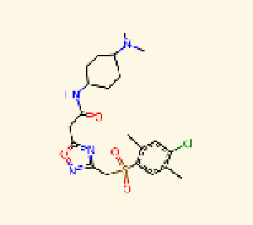 Cc1cc(S(=O)(=O)Cc2noc(CC(=O)NC3CCC(N(C)C)CC3)n2)c(C)cc1Cl